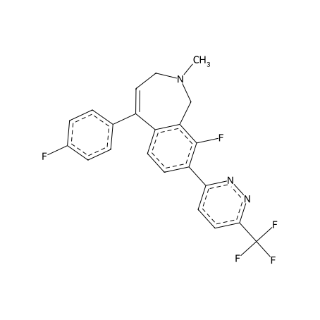 CN1CC=C(c2ccc(F)cc2)c2ccc(-c3ccc(C(F)(F)F)nn3)c(F)c2C1